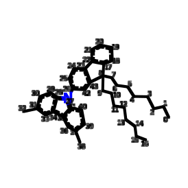 CCCCCCCCC1(CCCCCCCC)c2ccccc2-c2ccc(-n3c4ccc(C)cc4c4cc(C)ccc43)cc21